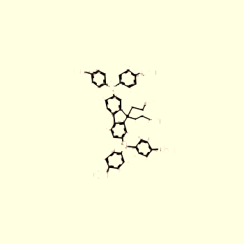 CC(C)CCC1(CCC(C)C)c2cc(N(c3ccc(C(C)(C)C)cc3)c3ccc(C(C)(C)C)cc3)ccc2-c2ccc(N(c3ccc(C(C)(C)C)cc3)c3ccc(C(C)(C)C)cc3)cc21